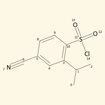 CC(C)c1cc(C#N)ccc1S(=O)(=O)Cl